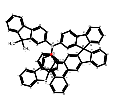 CC1(C)c2ccccc2-c2ccc(N(c3ccc4c(c3)C3(c5ccccc5-4)c4ccccc4-c4cc5c6ccccc6c6ccccc6c5cc43)c3ccc4oc5ccccc5c4c3)cc21